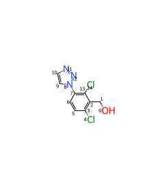 OCc1c(Cl)ccc(-n2ccnn2)c1Cl